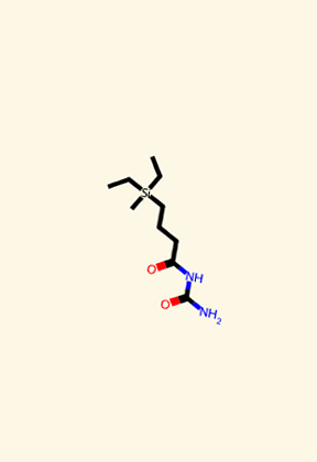 CC[Si](C)(CC)CCCC(=O)NC(N)=O